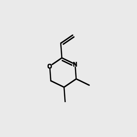 C=CC1=NC(C)C(C)CO1